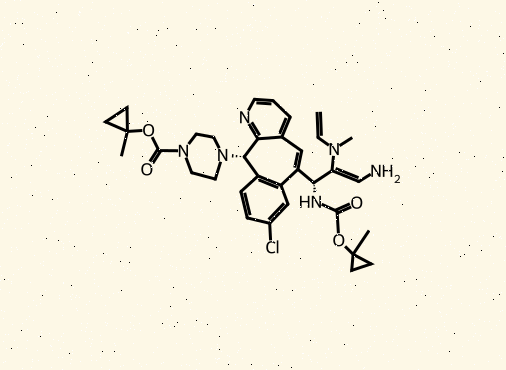 C=CN(C)/C(=C\N)[C@H](NC(=O)OC1(C)CC1)C1=Cc2cccnc2[C@@H](N2CCN(C(=O)OC3(C)CC3)CC2)c2ccc(Cl)cc21